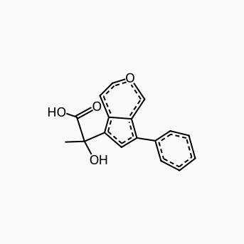 CC(O)(C(=O)O)c1cc(-c2ccccc2)c2coccc1-2